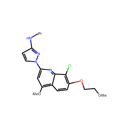 COCCOc1ccc2c(OC)cc(-n3ccc(NC(C)C)n3)nc2c1Cl